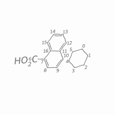 C1CCCCC1.O=C(O)c1cccc2ccccc12